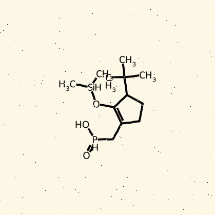 C[SiH](C)OC1=C(C[PH](=O)O)CCC1C(C)(C)C